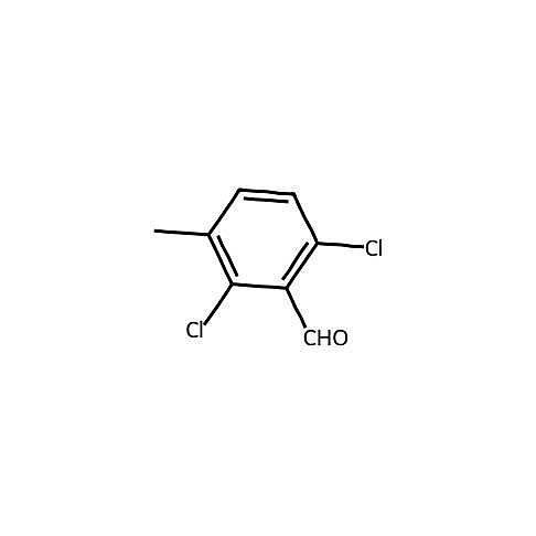 Cc1ccc(Cl)c(C=O)c1Cl